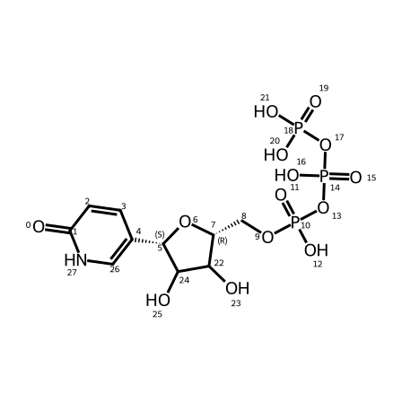 O=c1ccc([C@@H]2O[C@H](COP(=O)(O)OP(=O)(O)OP(=O)(O)O)C(O)C2O)c[nH]1